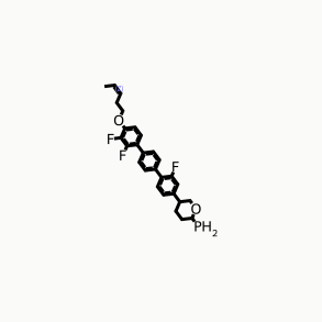 C/C=C\CCOc1ccc(-c2ccc(-c3ccc(C4CCC(P)OC4)cc3F)cc2)c(F)c1F